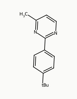 Cc1ccnc(-c2ccc(C(C)(C)C)cc2)n1